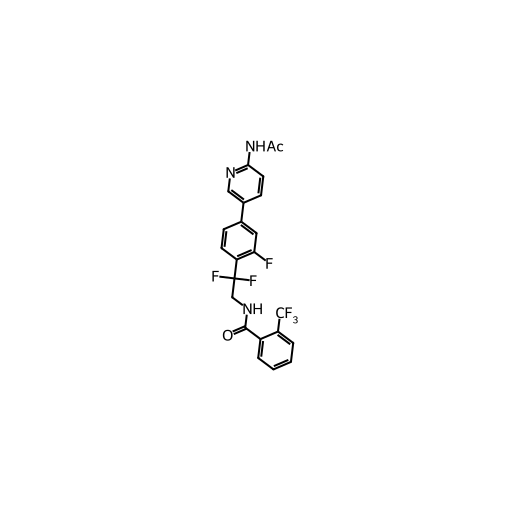 CC(=O)Nc1ccc(-c2ccc(C(F)(F)CNC(=O)c3ccccc3C(F)(F)F)c(F)c2)cn1